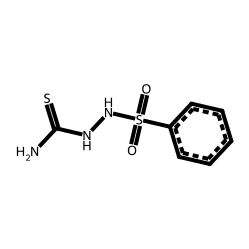 NC(=S)NNS(=O)(=O)c1ccccc1